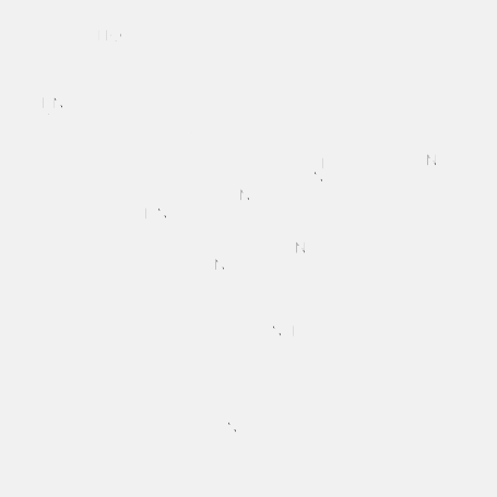 CN(C)CCNc1nc(NCCN(C)C)nc(Nc2ccc(O)c(N)c2)n1